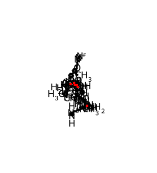 CCc1cc(OCCCCN=[N+]=[N-])ccc1-c1ccc(C[C@H](NC(=O)[C@H](CC(=O)O)NC(=O)[C@H](CO)NC(=O)[C@@H](NC(=O)[C@](C)(Cc2ccccc2F)NC(=O)C(NC(=O)CNC(=O)[C@H](C/C(N=N)=N/N)NC(=O)C(C)(C)NC(=O)CCCCc2c[nH]cn2)[C@@H](C)O)[C@@H](C)O)C(=O)N[C@@H](CCCc2cc(C)cc(C)c2)C(N)=O)cc1